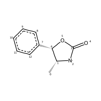 C[C@H]1[N]C(=O)O[C@H]1c1ccccc1